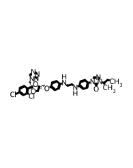 CCC(C)n1ncn(-c2ccc(NCCNc3ccc(OC[C@@H]4CO[C@@](Cn5cnnn5)(c5ccc(Cl)cc5Cl)O4)cc3)cc2)c1=O